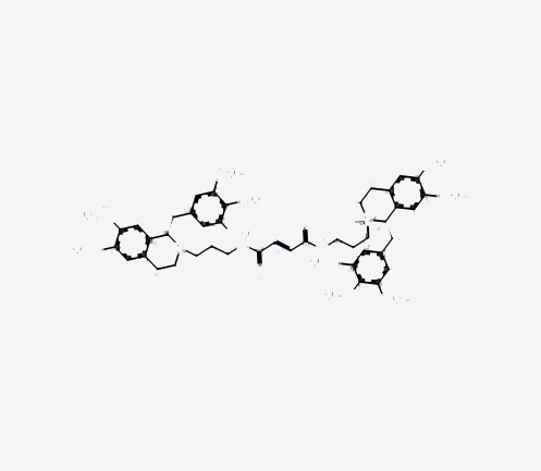 COc1cc2c(cc1OC)[C@@H](Cc1cc(OC)c(OC)c(OC)c1)[N@+](C)(CCCOC(=O)/C=C/C(=O)OCCC[N@+]1(C)CCc3cc(OC)c(OC)cc3[C@H]1Cc1cc(OC)c(OC)c(OC)c1)CC2